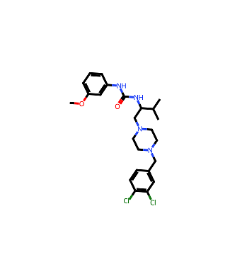 COc1cccc(NC(=O)NC(CN2CCN(Cc3ccc(Cl)c(Cl)c3)CC2)C(C)C)c1